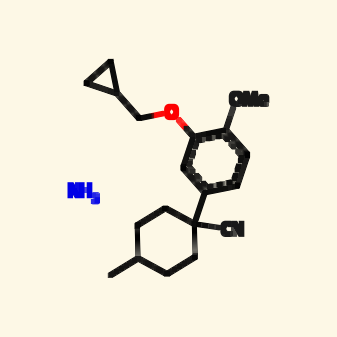 COc1ccc(C2(C#N)CCC(C)CC2)cc1OCC1CC1.N